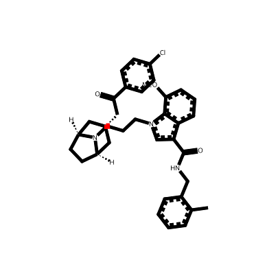 COc1cccc2c(C(=O)NCc3ccccc3C)cn(CCCN3[C@@H]4CC[C@H]3C[C@H](CC(=O)c3ccc(Cl)cc3)C4)c12